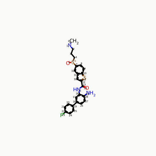 C=NCCC[S+]([O-])c1ccc2sc(C(=O)Nc3cc(-c4ccc(F)cc4)ccc3N)cc2c1